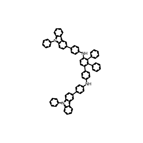 c1ccc(-c2c(Nc3ccc(-c4ccc5c(c4)c4ccccc4n5-c4ccccc4)cc3)ccc(-c3ccc(Nc4ccc(-c5ccc6c(c5)c5ccccc5n6-c5ccccc5)cc4)cc3)c2-c2ccccc2)cc1